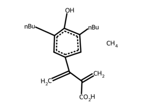 C.C=C(C(=C)c1cc(CCCC)c(O)c(CCCC)c1)C(=O)O